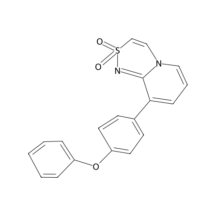 O=S1(=O)C=CN2C=CC=C(c3ccc(Oc4ccccc4)cc3)C2=N1